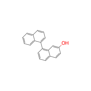 Oc1ccc2cccc(-c3cccc4ccccc34)c2c1